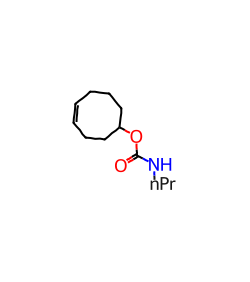 [CH2]CCNC(=O)OC1CC/C=C\CCC1